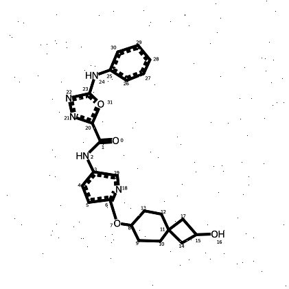 O=C(Nc1ccc(OC2CCC3(CC2)CC(O)C3)nc1)c1nnc(Nc2ccccc2)o1